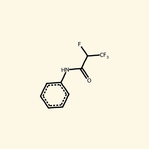 O=C(Nc1ccccc1)C(F)C(F)(F)F